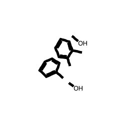 CO.CO.Cc1ccccc1.Cc1ccccc1C